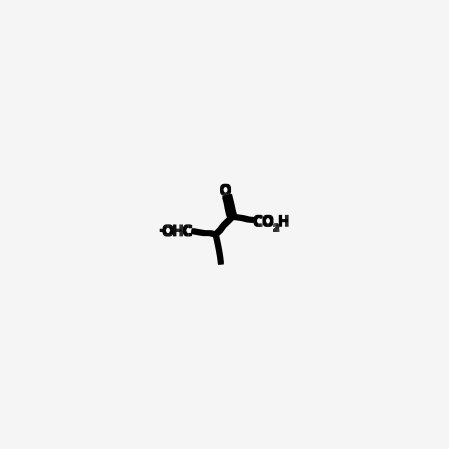 CC([C]=O)C(=O)C(=O)O